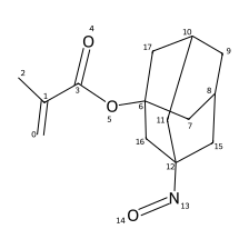 C=C(C)C(=O)OC12CC3CC(CC(N=O)(C3)C1)C2